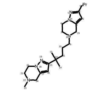 CC(C)c1cc2n(n1)CCN(CCCC(C)(C)c1cc3n(n1)CCN(C)C3)C2